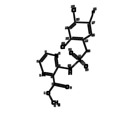 COC(=O)c1nccnc1NS(=O)(=O)Cc1cc(F)c(Cl)cc1Cl